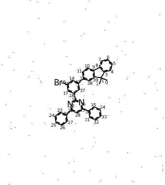 CC1(C)c2ccccc2-c2ccc(-c3cc(Br)cc(-c4nc(-c5ccccc5)cc(-c5ccccc5)n4)c3)cc21